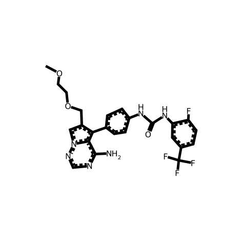 COCCOCc1cn2ncnc(N)c2c1-c1ccc(NC(=O)Nc2cc(C(F)(F)F)ccc2F)cc1